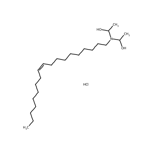 CCCCCCCC/C=C\CCCCCCCCCN(C(C)O)C(C)O.Cl